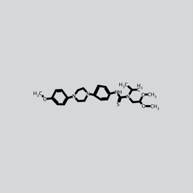 COc1ccc(N2CCN(c3ccc(NC(=S)N(CC(OC)OC)C(C)C)cc3)CC2)cc1